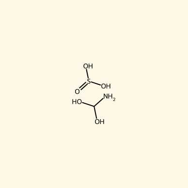 NC(O)O.O=S(O)O